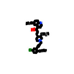 COc1ccc2nccc([C@@H](O)CC[C@@H]3CCN(CC#Cc4cc(Cl)ccc4OC)C[C@@H]3C(=O)O)c2c1